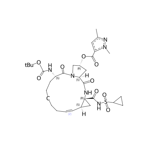 Cc1cc(C(=O)O[C@@H]2C[C@H]3C(=O)N[C@]4(C(=O)NS(=O)(=O)C5CC5)C[C@H]4/C=C\CCCCC[C@H](NC(=O)OC(C)(C)C)C(=O)N3C2)n(C)n1